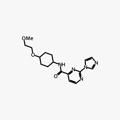 COCCOC1CCC(NC(=O)c2ccnc(-n3ccnc3)n2)CC1